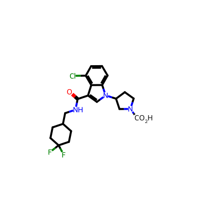 O=C(NCC1CCC(F)(F)CC1)c1cn(C2CCN(C(=O)O)C2)c2cccc(Cl)c12